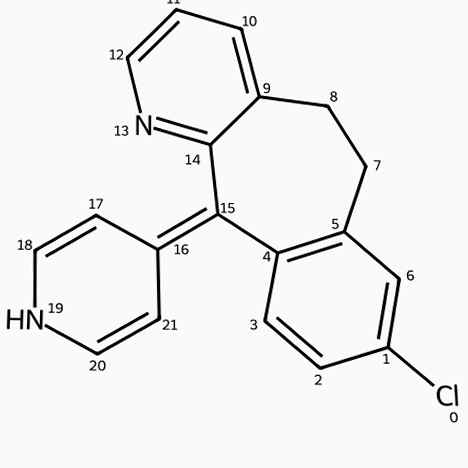 Clc1ccc2c(c1)CCc1cccnc1C2=C1C=CNC=C1